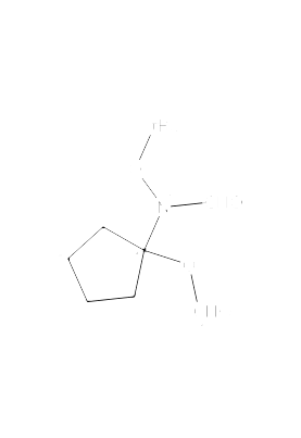 CC(C)(C)ON(C=O)C1(OC=O)CCCC1